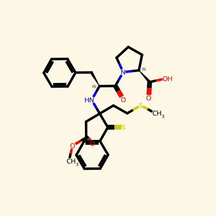 COC(=O)CC(CCSC)(N[C@@H](Cc1ccccc1)C(=O)N1CCC[C@H]1C(=O)O)C(=S)c1ccccc1